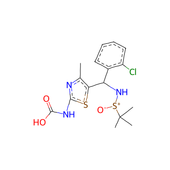 Cc1nc(NC(=O)O)sc1C(N[S+]([O-])C(C)(C)C)c1ccccc1Cl